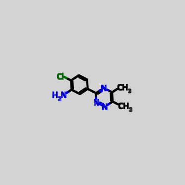 Cc1nnc(-c2ccc(Cl)c(N)c2)nc1C